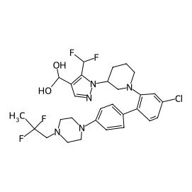 CC(F)(F)CN1CCN(c2ccc(-c3ccc(Cl)cc3N3CCCC(n4ncc(C(O)O)c4C(F)F)C3)cc2)CC1